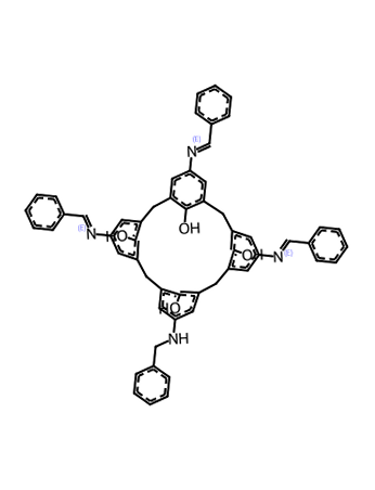 Oc1c2cc(/N=C/c3ccccc3)cc1Cc1cc(/N=C/c3ccccc3)cc(c1O)Cc1cc(NCc3ccccc3)cc(c1O)Cc1cc(/N=C/c3ccccc3)cc(c1O)C2